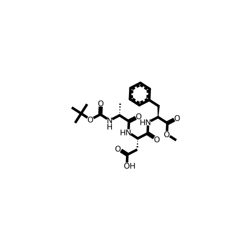 COC(=O)[C@H](Cc1ccccc1)NC(=O)[C@H](CC(=O)O)NC(=O)[C@@H](C)NC(=O)OC(C)(C)C